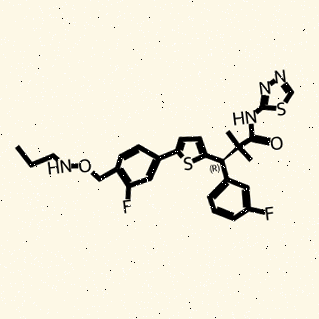 CCCNOCc1ccc(-c2ccc([C@H](c3cccc(F)c3)C(C)(C)C(=O)Nc3nncs3)s2)cc1F